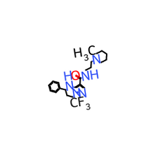 CC1CCCCN1CCCNC(=O)c1cnn2c1NC(c1ccccc1)CC2C(F)(F)F